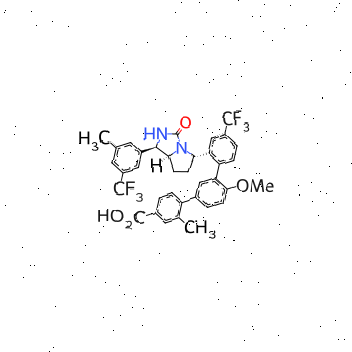 COc1ccc(-c2ccc(C(=O)O)cc2C)cc1-c1ccc(C(F)(F)F)cc1[C@@H]1CC[C@H]2[C@@H](c3cc(C)cc(C(F)(F)F)c3)NC(=O)N12